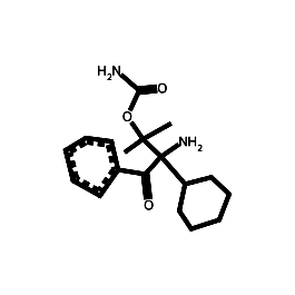 CC(C)(OC(N)=O)C(N)(C(=O)c1ccccc1)C1CCCCC1